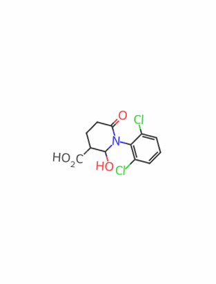 O=C(O)C1CCC(=O)N(c2c(Cl)cccc2Cl)C1O